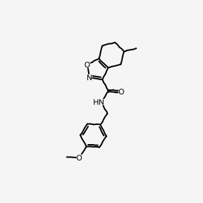 COc1ccc(CNC(=O)c2noc3c2CC(C)CC3)cc1